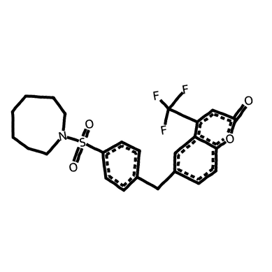 O=c1cc(C(F)(F)F)c2cc(Cc3ccc(S(=O)(=O)N4CCCCCCC4)cc3)ccc2o1